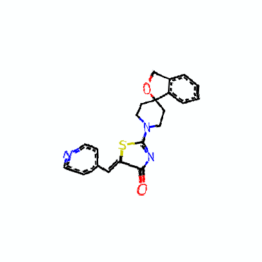 O=C1N=C(N2CCC3(CC2)OCc2ccccc23)S/C1=C\c1ccncc1